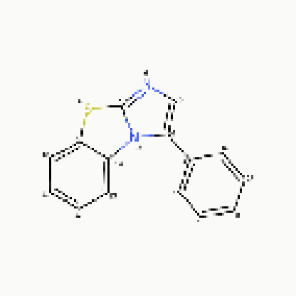 c1ccc(-c2cnc3sc4ccccc4n23)cc1